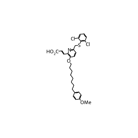 COc1ccc(CCCCCCCCOc2ccc(CSc3c(Cl)cccc3Cl)nc2/C=C/C(=O)O)cc1